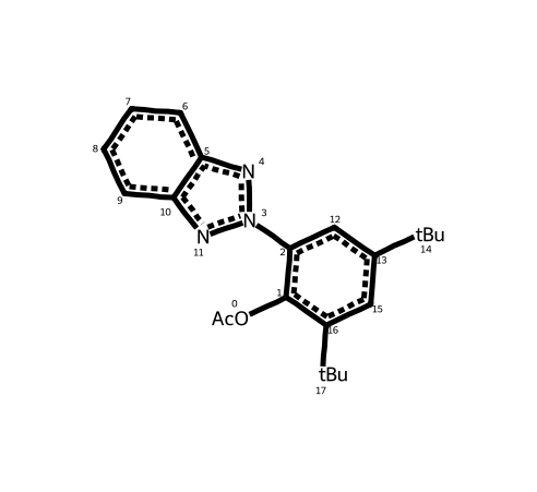 CC(=O)Oc1c(-n2nc3ccccc3n2)cc(C(C)(C)C)cc1C(C)(C)C